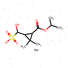 CC(C)OC(=O)C1C(C(O)S(=O)(=O)[O-])C1(C)C.[Na+]